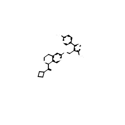 Cc1ccc(-c2noc(C)c2COc2cc3c(cn2)C(C(=O)C2CCC2)NCC3)cn1